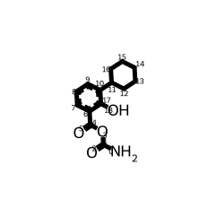 NC(=O)OC(=O)c1cccc(C2CCCCC2)c1O